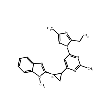 CCc1nc(C)nn1-c1cc(C2C[C@H]2c2nc3ccccc3n2C)nc(C)n1